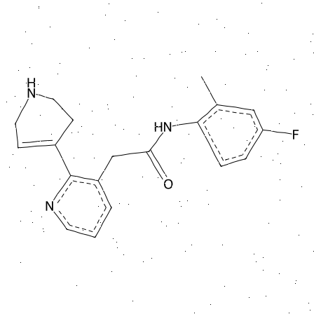 Cc1cc(F)ccc1NC(=O)Cc1cccnc1C1=CCNCC1